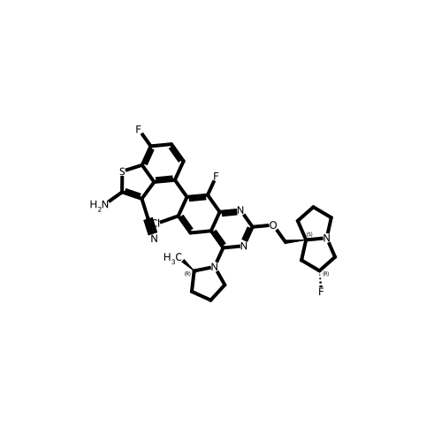 C[C@@H]1CCCN1c1nc(OC[C@@]23CCCN2C[C@H](F)C3)nc2c(F)c(-c3ccc(F)c4sc(N)c(C#N)c34)c(Cl)cc12